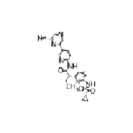 CCC(C(=O)Nc1ccc(-c2cncc(C#N)n2)cn1)c1csc(NS(=O)(=O)C2CC2)n1